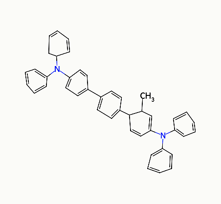 CC1C=C(N(c2ccccc2)c2ccccc2)C=CC1c1ccc(-c2ccc(N(c3ccccc3)C3C=CC=CC3)cc2)cc1